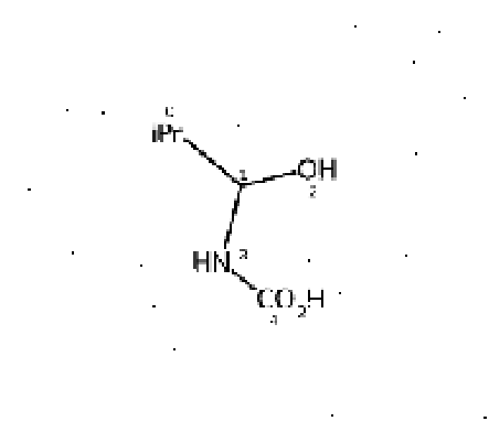 CC(C)C(O)NC(=O)O